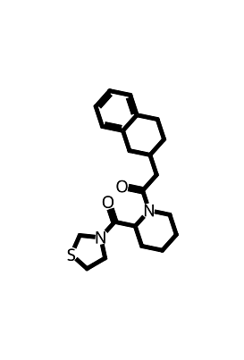 O=C(C1CCCCN1C(=O)CC1CCc2ccccc2C1)N1CCSC1